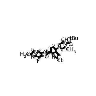 CCn1cc2c(N3C[C@@H](C)N(C(=O)OC(C)(C)C)[C@@H](C)C3)ccc(C(=O)Nc3cc(F)c4nc(C)cn4c3)c2n1